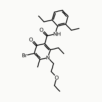 CCOCCn1c(C)c(Br)c(=O)c(C(=O)Nc2c(CC)cccc2CC)c1CC